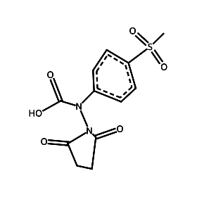 CS(=O)(=O)c1ccc(N(C(=O)O)N2C(=O)CCC2=O)cc1